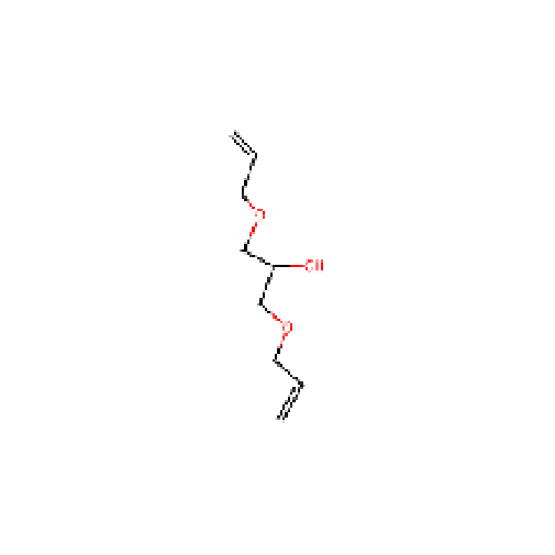 C=CCO[CH]C(O)COCC=C